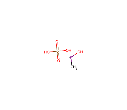 C[P]O.O=S(=O)(O)O